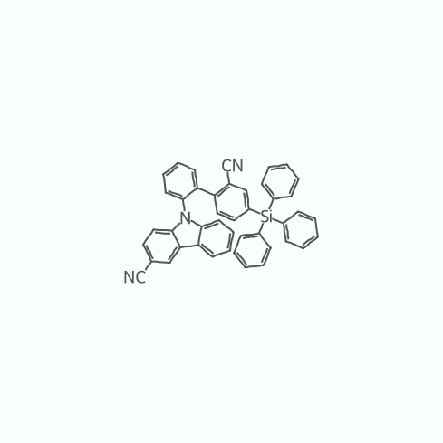 N#Cc1ccc2c(c1)c1ccccc1n2-c1ccccc1-c1ccc([Si](c2ccccc2)(c2ccccc2)c2ccccc2)cc1C#N